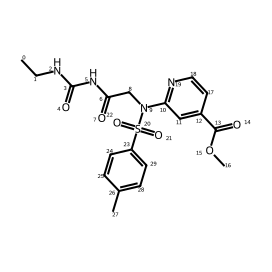 CCNC(=O)NC(=O)CN(c1cc(C(=O)OC)ccn1)S(=O)(=O)c1ccc(C)cc1